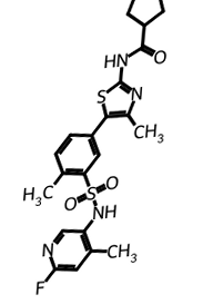 Cc1cc(F)ncc1NS(=O)(=O)c1cc(-c2sc(NC(=O)C3CCCC3)nc2C)ccc1C